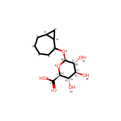 O=C(O)[C@H]1O[C@@H](OC2CCCCC3CC32)[C@H](O)[C@@H](O)[C@@H]1O